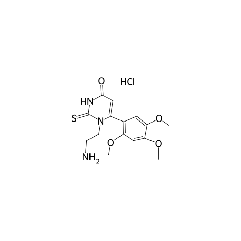 COc1cc(OC)c(-c2cc(=O)[nH]c(=S)n2CCN)cc1OC.Cl